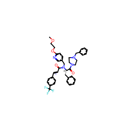 COCCOc1ccc(CN(C(=O)/C=C/c2ccc(C(F)(F)F)cc2)[C@@H](Cc2ccccc2)C(=O)N2CCN(Cc3ccccc3)CC2)cn1